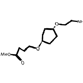 COC(=O)CCCO[C@H]1CC[C@H](OCCN)CC1